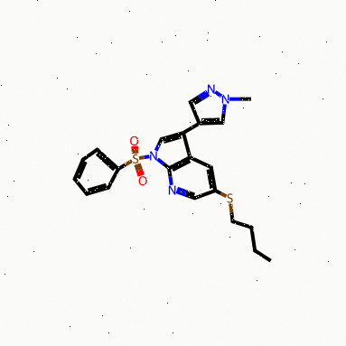 CCCCSc1cnc2c(c1)c(-c1cnn(C)c1)cn2S(=O)(=O)c1ccccc1